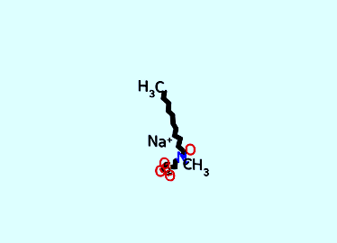 CCCCCCCCCCCC(=O)N(C)CCS(=O)(=O)[O-].[Na+]